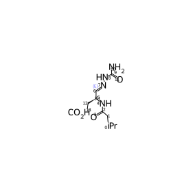 CC(C)CC(=O)N[C@H](/C=N/NC(N)=O)CC(=O)O